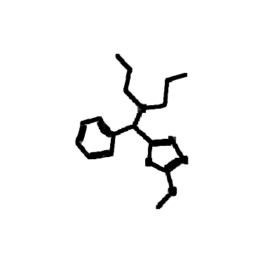 CCCN(CCC)C(c1ccccc1)c1nnc(OC)o1